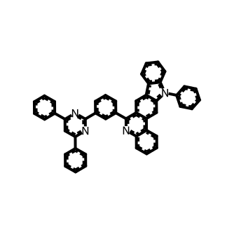 c1ccc(-c2cc(-c3ccccc3)nc(-c3cccc(-c4nc5ccccc5c5cc6c(cc45)c4ccccc4n6-c4ccccc4)c3)n2)cc1